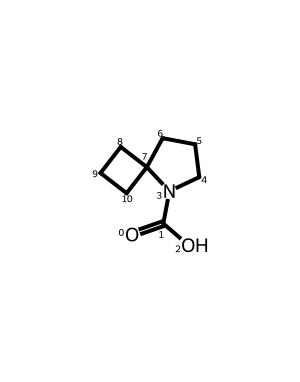 O=C(O)N1CCCC12CCC2